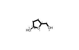 OCC1CC[C@H](O)O1